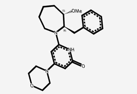 CO[C@H]1CCCCN(c2cc(N3CCOCC3)cc(=O)[nH]2)[C@@H]1Cc1ccccc1